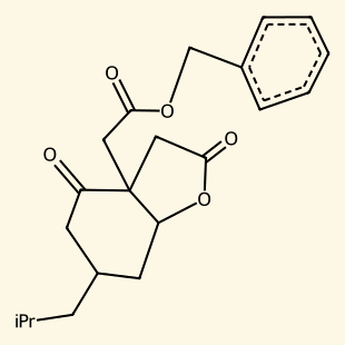 CC(C)CC1CC(=O)C2(CC(=O)OCc3ccccc3)CC(=O)OC2C1